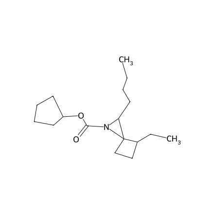 CCCCC1N(C(=O)OC2CCCC2)C12CCC2CC